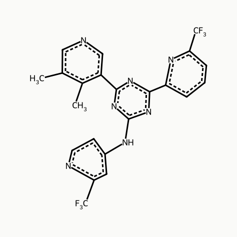 Cc1cncc(-c2nc(Nc3ccnc(C(F)(F)F)c3)nc(-c3cccc(C(F)(F)F)n3)n2)c1C